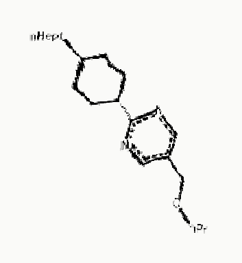 CCCCCCC[C@H]1CC[C@H](c2ncc(COCCC)cn2)CC1